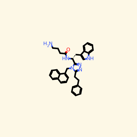 NCCCC(=O)N[C@H](Cc1c[nH]c2ccccc12)c1nnc(CCc2ccccc2)n1Cc1cccc2ccccc12